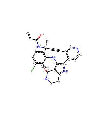 C=CC(=O)N[C@](C)(C#Cc1cnccc1-c1[nH]c2c(c1Nc1cccc(Cl)c1OC)C(=O)NCC2)C(F)(F)F